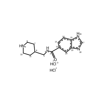 Cl.Cl.O=C(NCC1CCNCC1)c1ccc2[nH]cnc2c1